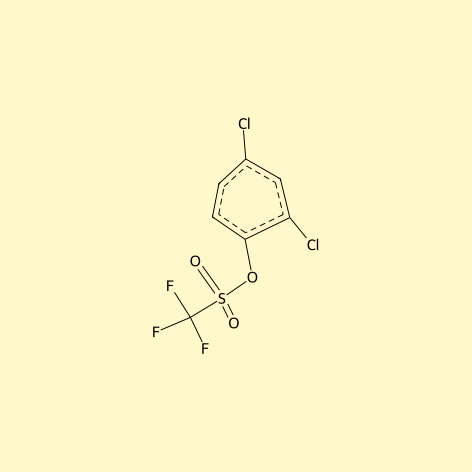 O=S(=O)(Oc1ccc(Cl)cc1Cl)C(F)(F)F